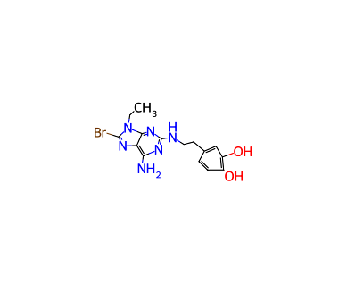 CCn1c(Br)nc2c(N)nc(NCCc3ccc(O)c(O)c3)nc21